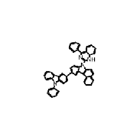 C1=CC2=C(c3ccccc3)N=C(n3c4ccc(-c5ccc6c(c5)c5ccccc5n6-c5ccccc5)cc4c4c5ccccc5ccc43)NC2C=C1